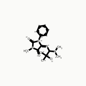 CN1C(=O)/C(=N\C(N(C)C)C(Cl)(Cl)Cl)N(c2ccccc2)C1=O